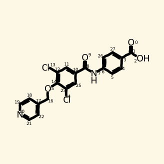 O=C(O)c1ccc(NC(=O)c2cc(Cl)c(OCc3ccncc3)c(Cl)c2)cc1